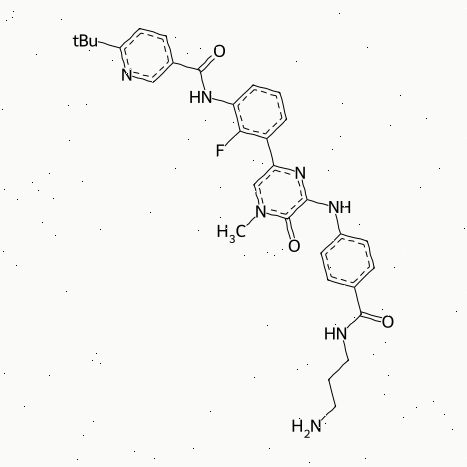 Cn1cc(-c2cccc(NC(=O)c3ccc(C(C)(C)C)nc3)c2F)nc(Nc2ccc(C(=O)NCCCN)cc2)c1=O